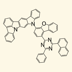 c1ccc(-c2nc(-c3cccc4ccccc34)nc(-c3ccc(-n4c5ccccc5c5cc6c7cccc8c9ccccc9n(c6cc54)c87)c4oc5ccccc5c34)n2)cc1